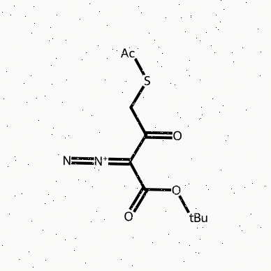 CC(=O)SCC(=O)C(=[N+]=[N-])C(=O)OC(C)(C)C